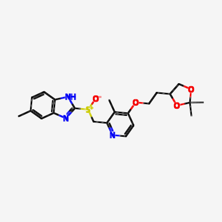 Cc1ccc2[nH]c([S+]([O-])Cc3nccc(OCCC4COC(C)(C)O4)c3C)nc2c1